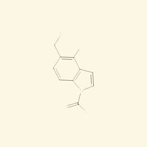 O=C(O)n1ccc2c(Cl)c(CBr)ccc21